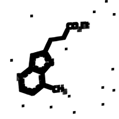 CCOC(=O)CCc1cc2nccc(C)c2s1